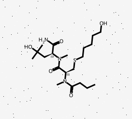 CCCC(=O)N(C)[C@H](CSCCCCCO)C(=O)N(C)[C@@H](CC(C)(C)O)C(N)=O